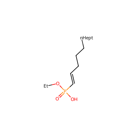 CCCCCCCCCCC=CP(=O)(O)OCC